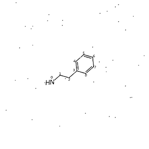 [NH]CCc1ccccc1